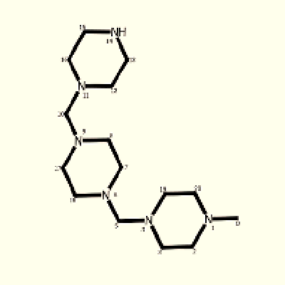 CN1CCN(CN2CCN(CN3CCNCC3)CC2)CC1